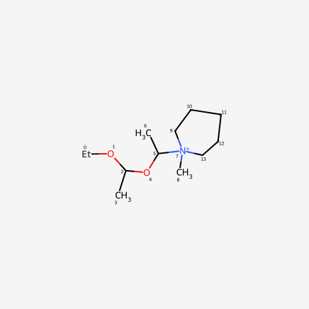 CCOC(C)OC(C)[N+]1(C)CCCCC1